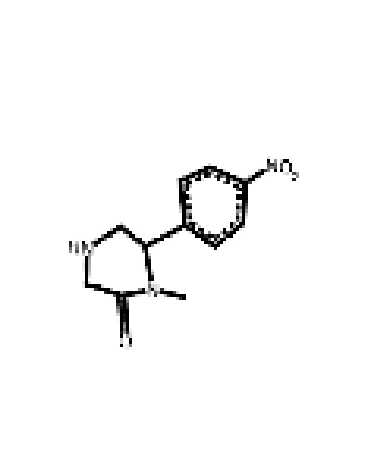 CN1C(=O)CNCC1c1ccc([N+](=O)[O-])cc1